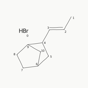 Br.CC=CC1CC2CCC1C2